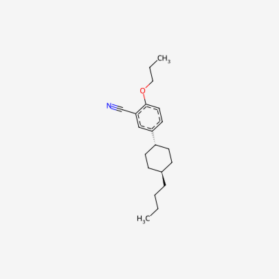 CCCC[C@H]1CC[C@H](c2ccc(OCCC)c(C#N)c2)CC1